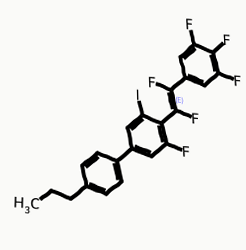 CCCc1ccc(-c2cc(F)c(/C(F)=C(\F)c3cc(F)c(F)c(F)c3)c(I)c2)cc1